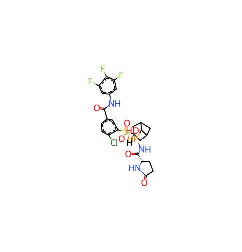 O=C1CC[C@@H](C(=O)NP[C@]2(O)C3CC2C[C@@H](S(=O)(=O)c2cc(C(=O)Nc4cc(F)c(F)c(F)c4)ccc2Cl)C3)N1